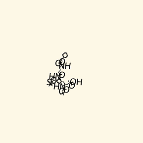 CC(C[C@H](Cc1ccc(O[Si](C)(C)C(C)(C)C)c(NC(=O)CCCNC(=O)OCc2ccccc2)c1)NC(=O)OC(C)(C)C)C(=O)O